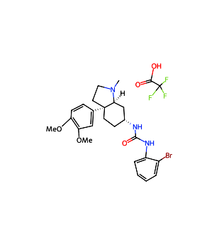 COc1ccc([C@@]23CC[C@@H](NC(=O)Nc4ccccc4Br)C[C@@H]2N(C)CC3)cc1OC.O=C(O)C(F)(F)F